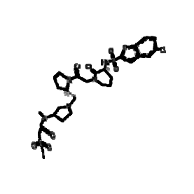 CN(C(=O)CS(C)(=O)=O)C1CCN(C[C@@H]2CCCN2C(=O)CN2CCC[C@H](NS(=O)(=O)c3cc4cc(Cl)ccc4s3)C2=O)C1